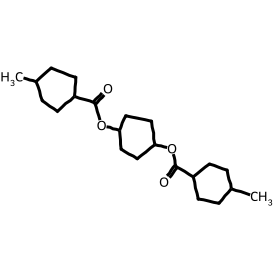 CC1CCC(C(=O)OC2CCC(OC(=O)C3CCC(C)CC3)CC2)CC1